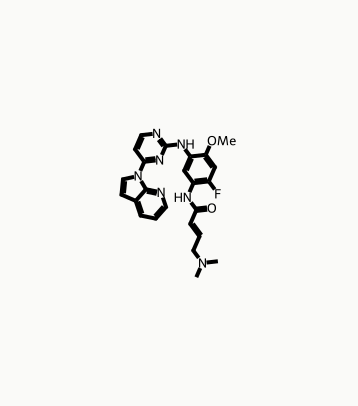 COc1cc(F)c(NC(=O)/C=C/CN(C)C)cc1Nc1nccc(-n2ccc3cccnc32)n1